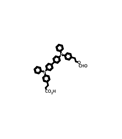 O=COCCc1ccc(N(c2ccccc2)c2ccc(-c3ccc(N(c4ccccc4)c4ccc(CCC(=O)O)cc4)cc3)cc2)cc1